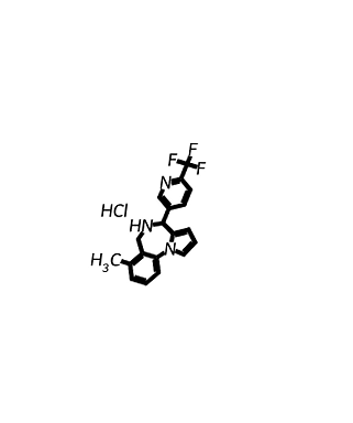 Cc1cccc2c1CNC(c1ccc(C(F)(F)F)nc1)c1cccn1-2.Cl